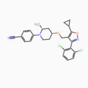 C[C@H]1C[C@@H](OCc2c(-c3c(Cl)cccc3Cl)noc2C2CC2)CCN1c1ccc(C#N)cc1